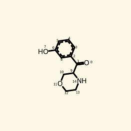 O=C(c1cc[c]c(O)c1)C1COCCN1